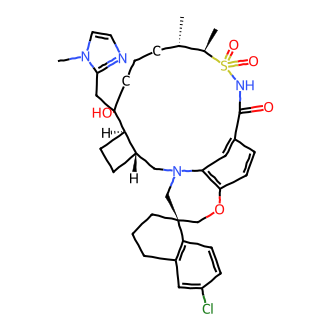 C[C@@H]1[C@@H](C)CCC[C@](O)(Cc2nccn2C)[C@@H]2CC[C@H]2CN2C[C@@]3(CCCc4cc(Cl)ccc43)COc3ccc(cc32)C(=O)NS1(=O)=O